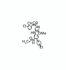 C=CC(=O)Nc1cc(Nc2cc(N3OCCC3c3cccc(Cl)c3C)ncn2)c(OC)cc1N1CCN(CC)CC1